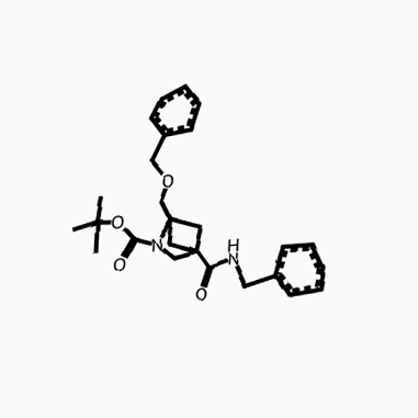 CC(C)(C)OC(=O)N1CC2(C(=O)NCc3ccccc3)CC1(COCc1ccccc1)C2